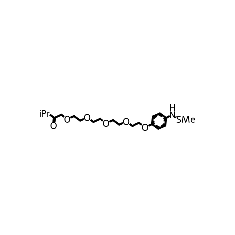 CSNc1ccc(OCCOCCOCCOCCOCC(=O)C(C)C)cc1